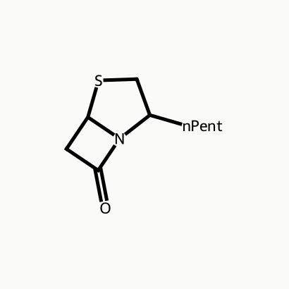 CCCCCC1CSC2CC(=O)N12